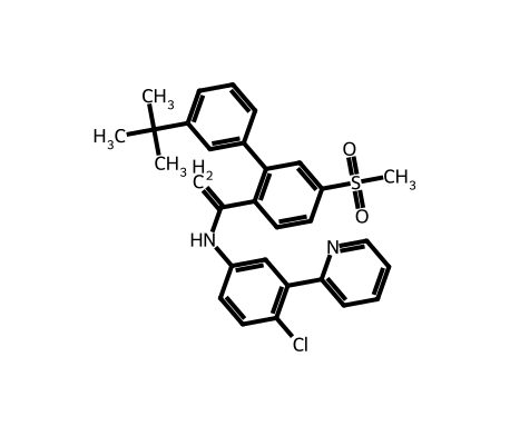 C=C(Nc1ccc(Cl)c(-c2ccccn2)c1)c1ccc(S(C)(=O)=O)cc1-c1cccc(C(C)(C)C)c1